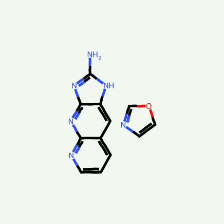 Nc1nc2nc3ncccc3cc2[nH]1.c1cocn1